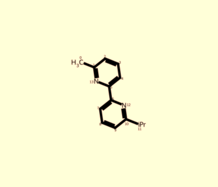 Cc1cccc(-c2cccc(C(C)C)n2)n1